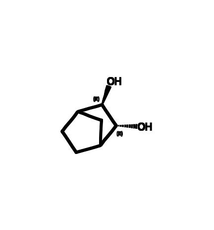 O[C@@H]1C2CCC(C2)[C@H]1O